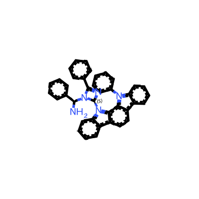 NC(c1ccccc1)N1C(c2ccccc2)=N[C@H]1n1c2ccccc2c2ccc3c4ccccc4n(-c4ccccc4)c3c21